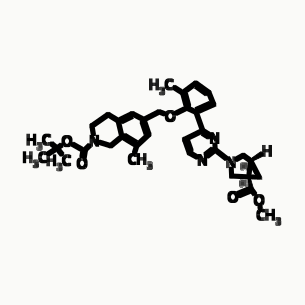 COC(=O)[C@]12C[C@H]1CN(c1nccc(-c3cccc(C)c3OCc3cc(C)c4c(c3)CCN(C(=O)OC(C)(C)C)C4)n1)C2